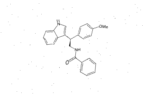 COc1ccc([C@@H](CNC(=O)c2ccccc2)c2c[nH]c3ccccc23)cc1